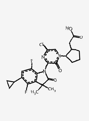 CC1(C)C(=O)N(c2nc(Cl)cn(C3CCCC3CC(=O)O)c2=O)c2c(F)cc(C3CC3)c(F)c21